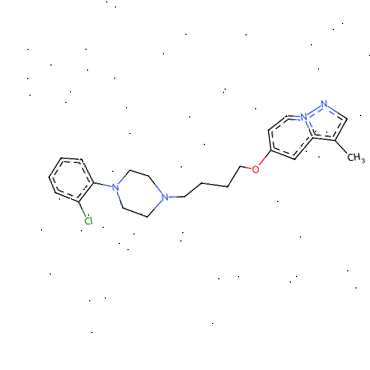 Cc1cnn2ccc(OCCCCN3CCN(c4ccccc4Cl)CC3)cc12